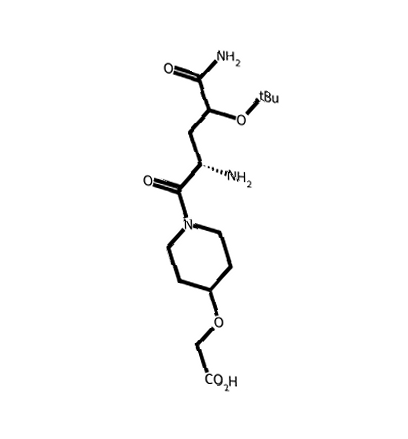 CC(C)(C)OC(C[C@H](N)C(=O)N1CCC(OCC(=O)O)CC1)C(N)=O